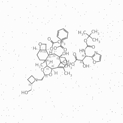 CC(=O)O[C@@]12CO[C@@H]1CC[C@@]1(C)[C@@H]3O[C@H](CN4CC[C@H]4CO)O[C@@H]3C3=C(C)[C@@H](OC(=O)[C@H](O)[C@@H](NC(=O)OC(C)(C)C)c4ncco4)C[C@@](O)([C@@H](OC(=O)c4ccccc4)[C@@H]12)C3(C)C